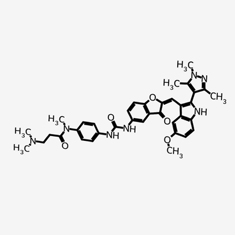 COc1ccc2[nH]c(-c3c(C)nn(C)c3C)c(C=C3Oc4ccc(NC(=O)Nc5ccc(N(C)C(=O)CCN(C)C)cc5)cc4C3=O)c2c1